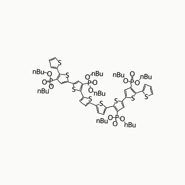 CCCCOP(=O)(OCCCC)c1cc(-c2cc(P(=O)(OCCCC)OCCCC)c(-c3ccc(-c4ccc(-c5sc(-c6cc(P(=O)(OCCCC)OCCCC)c(-c7cccs7)s6)cc5P(=O)(OCCCC)OCCCC)s4)s3)s2)sc1-c1cccs1